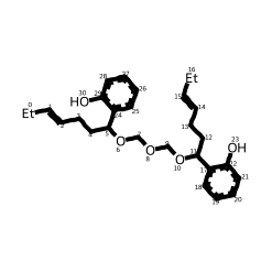 CCC=CCCC(OCOCOC(CCC=CCC)c1ccccc1O)c1ccccc1O